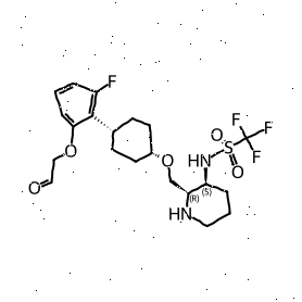 O=CCOc1cccc(F)c1[C@H]1CC[C@@H](OC[C@@H]2NCCC[C@@H]2NS(=O)(=O)C(F)(F)F)CC1